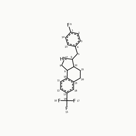 Fc1ccc(CC2NCC3c4ccc(C(F)(F)F)cc4CCC23)cc1